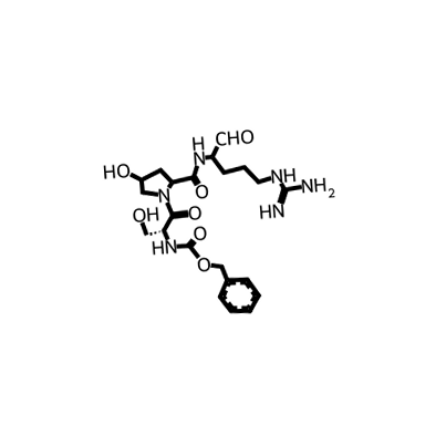 N=C(N)NCCCC(C=O)NC(=O)C1CC(O)CN1C(=O)[C@@H](CO)NC(=O)OCc1ccccc1